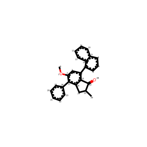 COc1cc(-c2cccc3ccccc23)c2c(c1-c1ccccc1)CC(C)C2=O